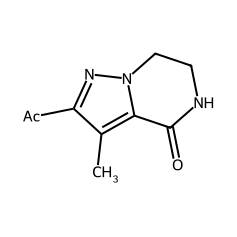 CC(=O)c1nn2c(c1C)C(=O)NCC2